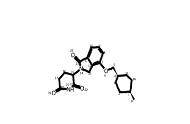 C[C@H]1CC[C@@H](COc2cccc3c2CN(C2CCC(=O)NC2=O)C3=O)CC1